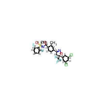 Cc1cc(C2=NOC(c3cc(Cl)cc(Cl)c3)(C(F)(F)F)C2)ccc1C(=O)N=S(C)(=O)c1c(F)cccc1F